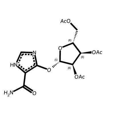 CC(=O)OC[C@H]1O[C@@H](Oc2nc[nH]c2C(N)=O)[C@H](OC(C)=O)[C@@H]1OC(C)=O